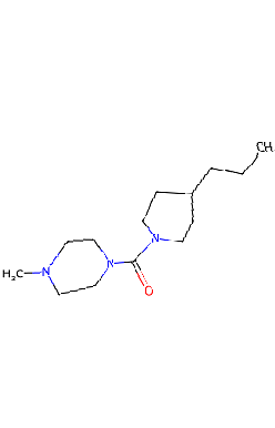 CCCC1CCN(C(=O)N2CCN(C)CC2)CC1